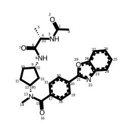 CC(=O)N[C@@H](C)C(=O)N[C@H]1CC[C@@H](N(C)C(=O)c2ccc(-c3nc4ccccc4o3)cc2)C1